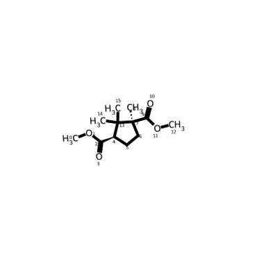 COC(=O)[C@@H]1CC[C@](C)(C(=O)OC)C1(C)C